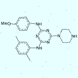 COc1ccc(Nc2nc(Nc3cc(C)ccc3C)nc(N3CCNCC3)n2)cc1